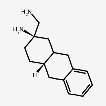 NC[C@@]1(N)CC[C@H]2Cc3ccccc3CC2C1